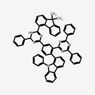 CC1(C)c2ccccc2-c2c(C3=NC(c4ccc(-c5cccc6c7ccccc7n(-c7ccccc7)c56)c(-c5nc(-c6ccccc6)nc(-c6ccccc6)n5)c4)=NC(c4ccccc4)N3)cccc21